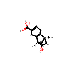 O=C(O)C1=CCC2=C(C1)[C@H]1C[C@@H]2C[C@H]1O